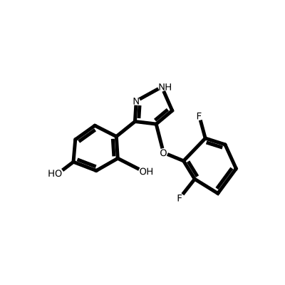 Oc1ccc(-c2n[nH]cc2Oc2c(F)cccc2F)c(O)c1